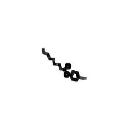 [CH2]c1ccc(OC(=O)CCCCCCCC)cc1